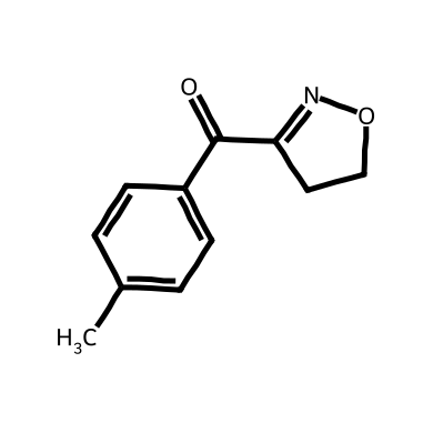 Cc1ccc(C(=O)C2=NOCC2)cc1